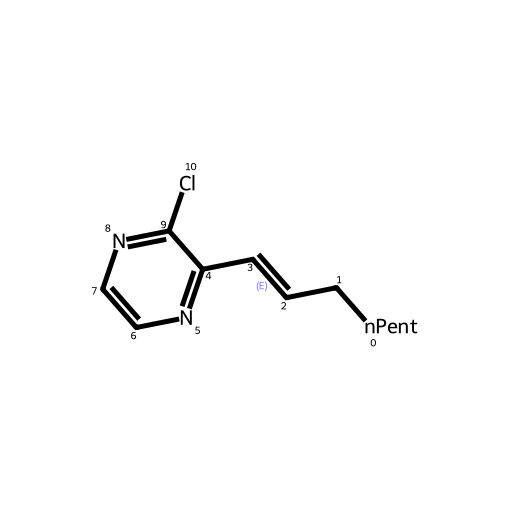 CCCCCC/C=C/c1nccnc1Cl